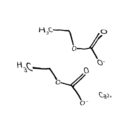 CCOC(=O)[O-].CCOC(=O)[O-].[Ca+2]